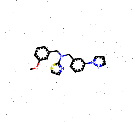 COc1cccc(CN(Cc2cccc(-n3cccn3)c2)c2nccs2)c1